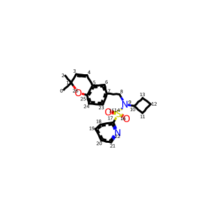 CC1(C)C=Cc2cc(CN(C3CCC3)S(=O)(=O)c3ccccn3)ccc2O1